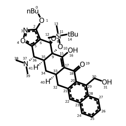 CCCCOc1noc2c1C(=O)[C@@]1(O[Si](C)(C)C(C)(C)C)C(O)=C3C(=O)c4c(cc5ccccc5c4CO)C[C@H]3C[C@H]1[C@@H]2N(C)C